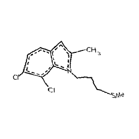 CSCCCn1c(C)cc2ccc(Cl)c(Cl)c21